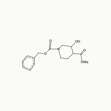 COC(=O)C1CCN(C(=O)OCc2ccccc2)CC1O